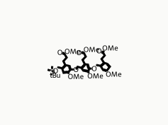 COC(=O)CCc1ccc(OC)cc1COc1cc(CCC(=O)OC)c(COc2cc(CCC(=O)OC)c(CO[Si](C)(C)C(C)(C)C)cc2OC)cc1OC